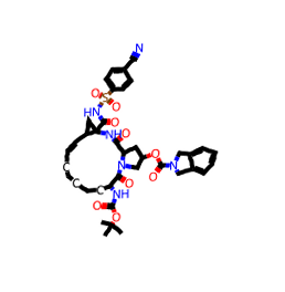 CC(C)(C)OC(=O)NC1CCCCCC=CC2CC2(C(=O)NS(=O)(=O)c2ccc(C#N)cc2)NC(=O)C2CC(OC(=O)N3Cc4ccccc4C3)CN2C1=O